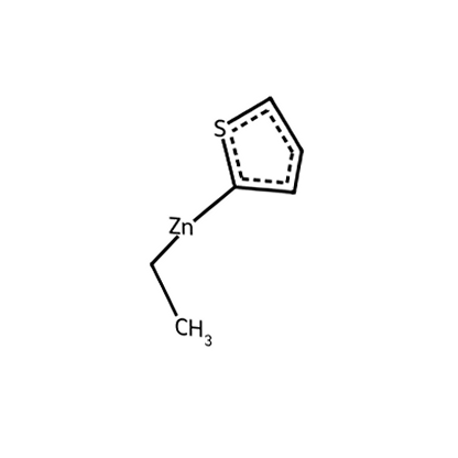 C[CH2][Zn][c]1cccs1